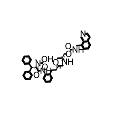 CN(C(=O)O)[C@H](C(=O)Nc1ccccc1CC[C@@H]1CN[C@H](COC(=O)NCc2cccc3ccncc23)CO1)C(c1ccccc1)c1ccccc1